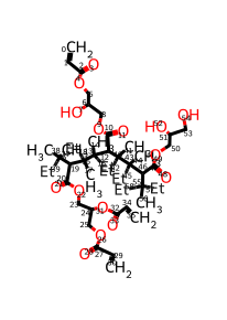 C=CC(=O)OCC(O)COC(=O)C(C(C)(CC)C(C)(CC)C(C(=O)OCC(COC(=O)C=C)OC(=O)C=C)C(C)(C)CC)C(C)(CC)C(C)(CC)C(C(=O)OCC(O)CO)C(C)(CC)CC